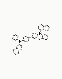 c1ccc(N(c2ccc(-c3ccc4c(c3)Cc3ccccc3N4c3cccc4ccccc34)cc2)c2ccc3ccccc3c2)cc1